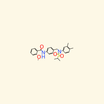 COc1ccccc1C(=O)Nc1ccc(CN(c2ccc(C)c(C)c2)S(=O)(=O)C(C)C)cc1